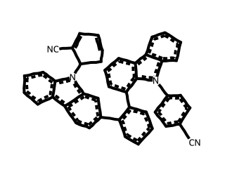 N#CC1=CC=CCC1n1c2ccccc2c2ccc(-c3ccccc3-c3cccc4c5ccccc5n(-c5ccc(C#N)cc5)c34)cc21